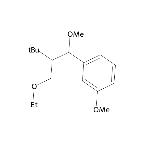 CCOCC(C(OC)c1cccc(OC)c1)C(C)(C)C